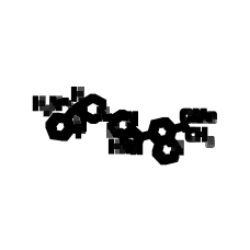 COC(C)c1ccc(-c2n[nH]c3nc(N4CC[C@@H]5[C@H](C4)[C@@]5(CN)c4ccccc4F)cnc23)c2cccnc12